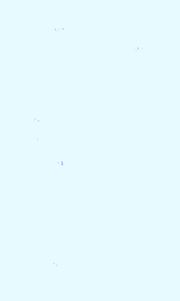 COc1cc(CCc2cc(NC(=O)c3ccc(CN(C)C)cc3)n[nH]2)cc(OC)c1